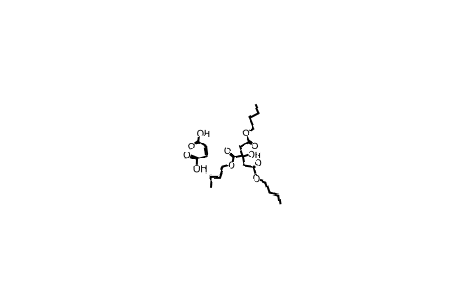 CCCCOC(=O)CC(O)(CC(=O)OCCCC)C(=O)OCCCC.O=C(O)/C=C\C(=O)O